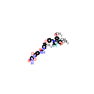 COc1ccc([C@]2(CCN(Cc3ccc(OC4CC5(CCN(CC(=O)Nc6ccc7c(c6)CN(C6CCC(=O)NC6=O)C7=O)CC5)C4)cc3)CC(C)(C)C(F)(F)F)CCOC(C)(C)C2)cc1